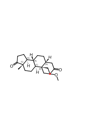 COCC[C@]12CCC(=O)C[C@H]1CC[C@@H]1[C@@H]2CC[C@]2(C)C(=O)CC[C@@H]12